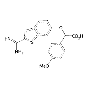 COc1ccc(C(Oc2ccc3cc(C(=N)N)sc3c2)C(=O)O)cc1